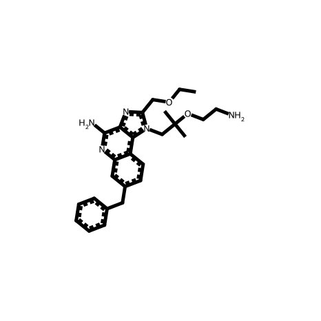 CCOCc1nc2c(N)nc3cc(Cc4ccccc4)ccc3c2n1CC(C)(C)OCCN